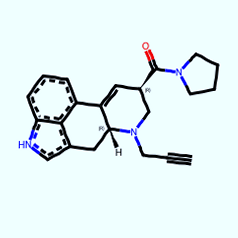 C#CCN1C[C@H](C(=O)N2CCCC2)C=C2c3cccc4[nH]cc(c34)C[C@H]21